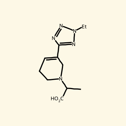 CCn1nnc(C2=CCCN(C(C)C(=O)O)C2)n1